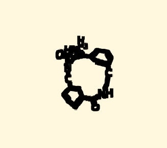 CC12NC(=O)N(Cc3cccc(c3)C(=O)NCCc3cccc1c3)C2=O